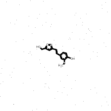 COc1cc(C=Cc2cc(CO)on2)ccc1O